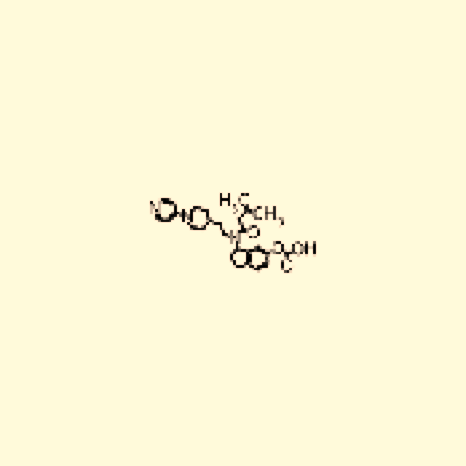 CC(C)CC(=O)N(CCC1CCN(c2ccncc2)CC1)C1CCc2ccc(OC(=O)O)cc21